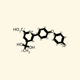 CC(O)(O)c1cc(C(=O)O)nc(-c2ccc(Oc3ccc(F)cc3)cc2)c1